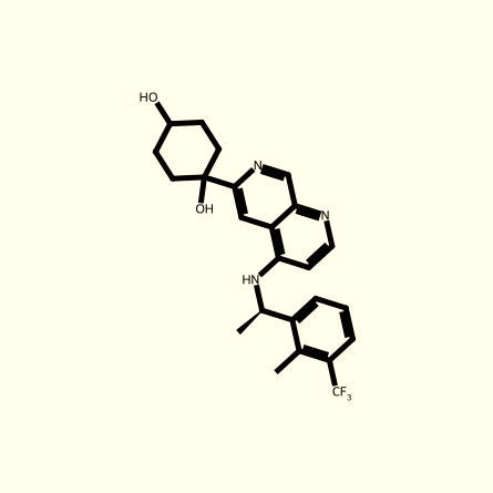 Cc1c([C@@H](C)Nc2ccnc3cnc(C4(O)CCC(O)CC4)cc23)cccc1C(F)(F)F